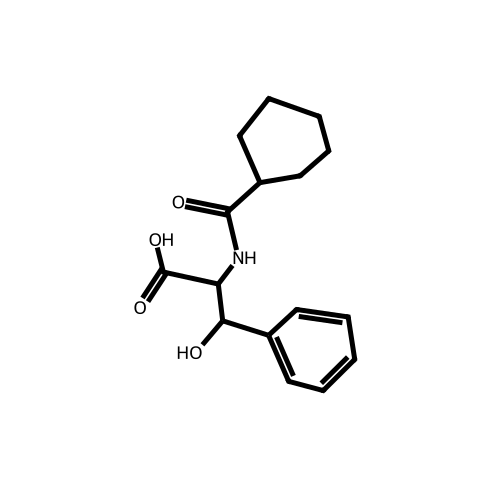 O=C(NC(C(=O)O)C(O)c1ccccc1)C1CCCCC1